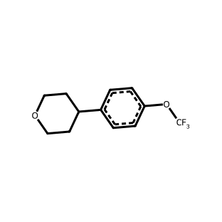 FC(F)(F)Oc1ccc([C]2CCOCC2)cc1